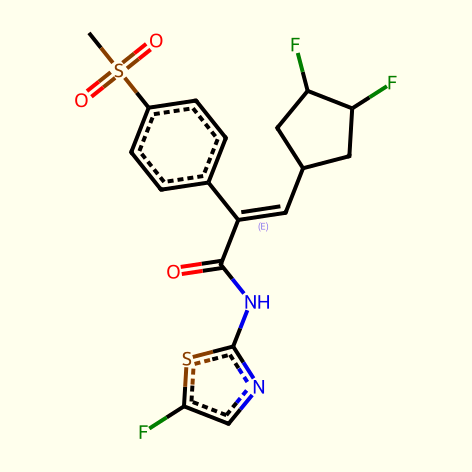 CS(=O)(=O)c1ccc(/C(=C\C2CC(F)C(F)C2)C(=O)Nc2ncc(F)s2)cc1